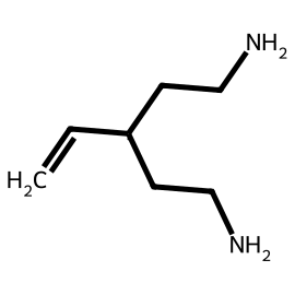 C=C[C](CCN)CCN